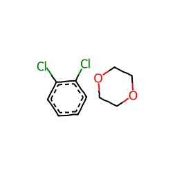 C1COCCO1.Clc1ccccc1Cl